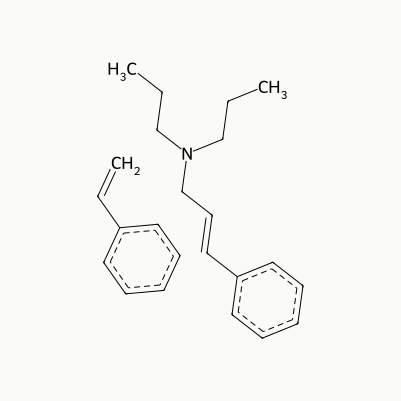 C=Cc1ccccc1.CCCN(CC=Cc1ccccc1)CCC